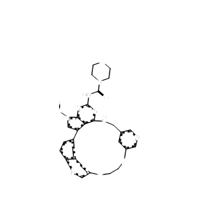 O=C(Nc1nc2c3c(cn(SI)c3n1)-c1ccc3ncc(cc3c1)OCCOc1cncc(c1)CN2)N1CCOCC1